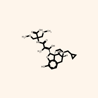 COCC(COC)(NC(=O)/C(C)=C(\O)[C@@H]1Oc2c(O)ccc3c2[C@@]12CCN(CC1CC1)[C@H](C3)[C@@]2(C)O)C(=O)O